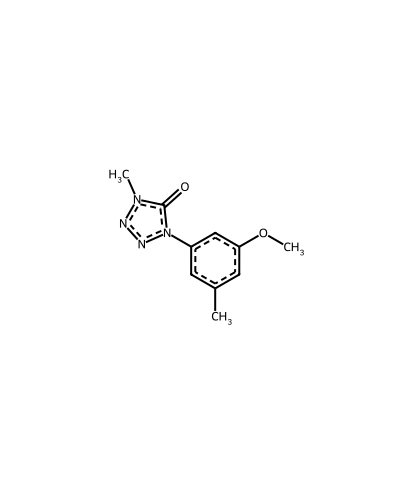 COc1cc(C)cc(-n2nnn(C)c2=O)c1